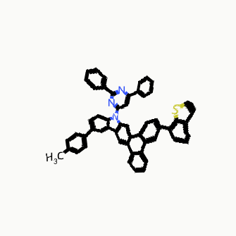 Cc1ccc(-c2ccc3c(c2)c2cc4c5ccccc5c5cc(-c6cccc7ccsc67)ccc5c4cc2n3-c2cc(-c3ccccc3)nc(-c3ccccc3)n2)cc1